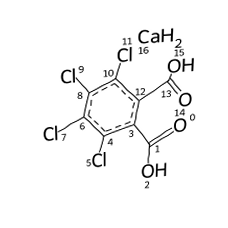 O=C(O)c1c(Cl)c(Cl)c(Cl)c(Cl)c1C(=O)O.[CaH2]